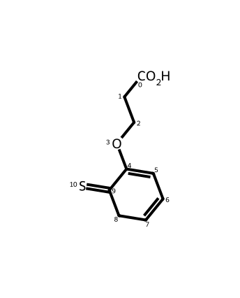 O=C(O)CCOC1=CC=CCC1=S